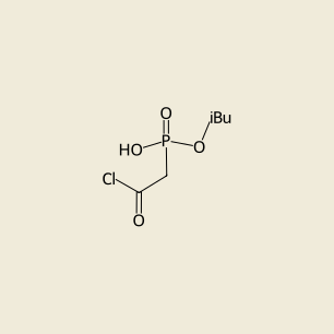 CCC(C)OP(=O)(O)CC(=O)Cl